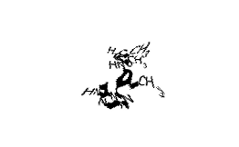 CC[C@@H]1C[C@H](NS(=O)(=O)C(C)(C)C)C[C@@H]1c1nnc2cnc3[nH]ccc3n12